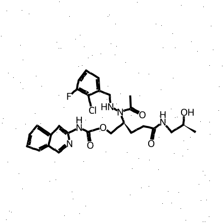 CC(=O)N(NCc1cccc(F)c1Cl)[C@@H](CCC(=O)NC[C@H](C)O)COC(=O)Nc1cc2ccccc2cn1